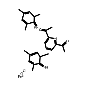 CC(=O)c1cccc(C(C)=O)n1.CC1=CC(C)C(=N)C(C)=C1.CC1=CC(C)C(=N)C(C)=C1.[Cl-].[Cl-].[Fe+2]